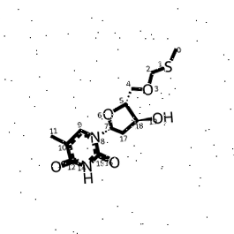 CSCOC[C@H]1O[C@@H](n2cc(C)c(=O)[nH]c2=O)C[C@@H]1O